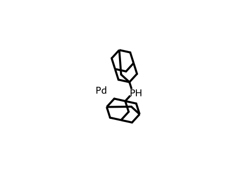 C1C2CC3CC1CC(PC14CC5CC(CC(C5)C1)C4)(C2)C3.[Pd]